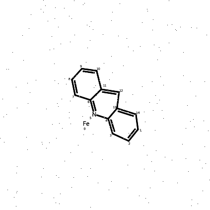 [Fe].c1ccc2nc3ccccc3cc2c1